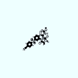 CCC(=O)Nc1cc(S(=O)(=O)c2ccc(C#N)cc2)ccc1NC(=NC(=O)OC)NC(=O)OC